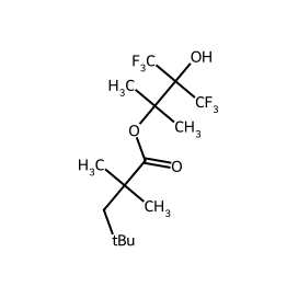 CC(C)(C)CC(C)(C)C(=O)OC(C)(C)C(O)(C(F)(F)F)C(F)(F)F